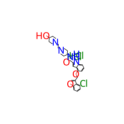 Cl.Cl.O=C(NC1CCN(CCN2CCC(O)CC2)CC1)c1cc2c(OCc3coc4cccc(Cl)c34)cccc2[nH]1